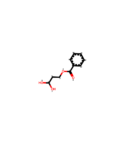 O=C(OCCC(O)O)c1ccccc1